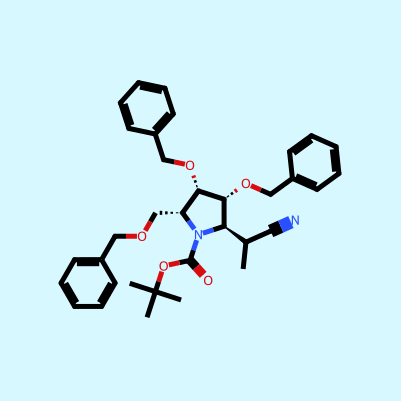 CC(C#N)[C@@H]1[C@@H](OCc2ccccc2)[C@@H](OCc2ccccc2)[C@@H](COCc2ccccc2)N1C(=O)OC(C)(C)C